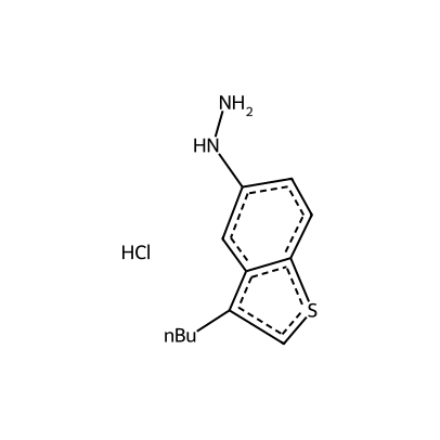 CCCCc1csc2ccc(NN)cc12.Cl